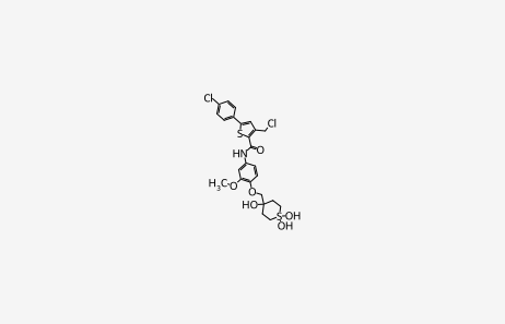 COc1cc(NC(=O)c2sc(-c3ccc(Cl)cc3)cc2CCl)ccc1OCC1(O)CCS(O)(O)CC1